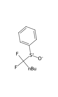 CCCCC(F)(F)[S+]([O-])c1ccccc1